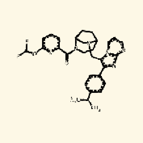 CC(C)c1ccc(-c2nc3ncccn3c2CN2CC3CCC2CCN3C(=O)c2cccc(OC(F)F)n2)cc1